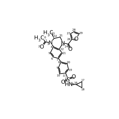 CC(=O)N1c2ccc(-c3ccc(S(=O)(=O)NC4CC4)cc3)cc2N(C(=O)c2ccco2)C[C@@H]1C